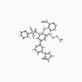 COc1ccccc1Oc1c(NS(=O)(=O)c2ccccc2)nc(-c2ccnc(-c3nnn[nH]3)c2)nc1OCCO